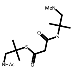 CNCC(C)(C)SC(=O)CC(=O)SC(C)(C)CNC(C)=O